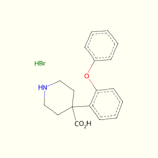 Br.O=C(O)C1(c2ccccc2Oc2ccccc2)CCNCC1